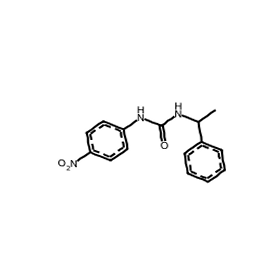 CC(NC(=O)Nc1ccc([N+](=O)[O-])cc1)c1ccccc1